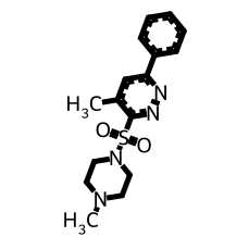 Cc1cc(-c2ccccc2)nnc1S(=O)(=O)N1CCN(C)CC1